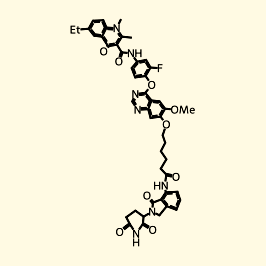 CCc1ccc2c(c1)c(=O)c(C(=O)Nc1ccc(Oc3ncnc4cc(OCCCCCC(=O)Nc5cccc6c5C(=O)N(C5CCC(=O)NC5=O)C6)c(OC)cc34)c(F)c1)c(C)n2C